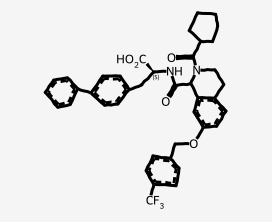 O=C(N[C@@H](Cc1ccc(-c2ccccc2)cc1)C(=O)O)C1c2cc(OCc3ccc(C(F)(F)F)cc3)ccc2CCN1C(=O)C1CCCCC1